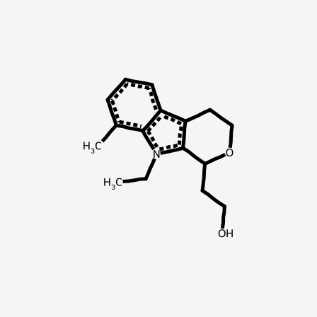 CCn1c2c(c3cccc(C)c31)CCOC2CCO